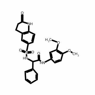 COc1ccc(NC(=O)C(NS(=O)(=O)c2ccc3c(c2)CCC(=O)N3)c2ccccc2)cc1OC